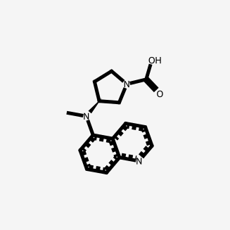 CN(c1cccc2ncccc12)[C@H]1CCN(C(=O)O)C1